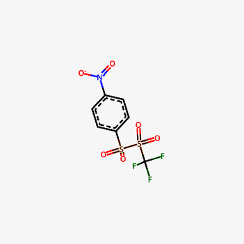 O=[N+]([O-])c1ccc(S(=O)(=O)S(=O)(=O)C(F)(F)F)cc1